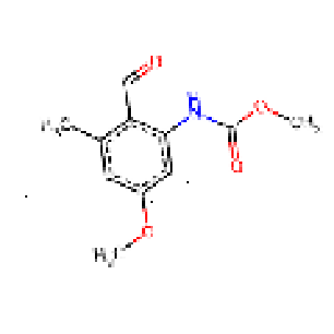 COC(=O)Nc1cc(OC)cc(C)c1C=O